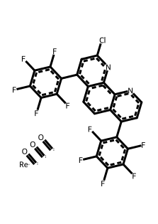 Fc1c(F)c(F)c(-c2ccnc3c2ccc2c(-c4c(F)c(F)c(F)c(F)c4F)cc(Cl)nc23)c(F)c1F.[C]=O.[C]=O.[C]=O.[Re]